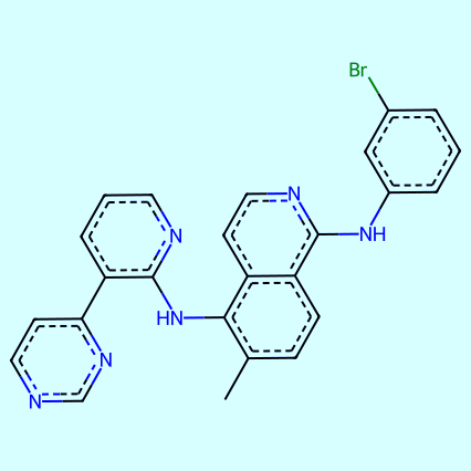 Cc1ccc2c(Nc3cccc(Br)c3)nccc2c1Nc1ncccc1-c1ccncn1